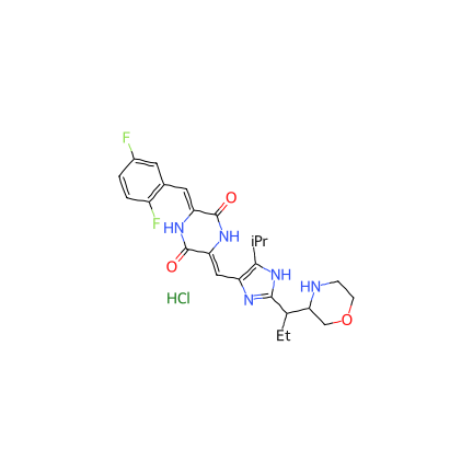 CCC(c1nc(/C=c2\[nH]c(=O)/c(=C/c3cc(F)ccc3F)[nH]c2=O)c(C(C)C)[nH]1)C1COCCN1.Cl